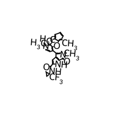 Cc1cccc(C)c1Oc1c(-c2cn(C)c(=O)c3[nH]c(C(=O)NC4(C(F)(F)F)CC4)cc23)ccn(C)c1=O